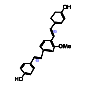 COc1cc(/C=C/c2ccc(O)cc2)ccc1/C=C/C1=CC=C(O)CC1